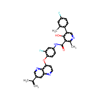 C=C(C)c1cnc2c(Oc3ccc(NC(=O)c4c(C)ncc(-c5ccc(F)cc5C)c4O)cc3F)ccnc2c1